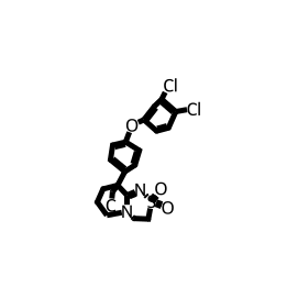 O=S1(=O)CCN2C(=N1)C1(c3ccc(Oc4ccc(Cl)c(Cl)c4)cc3)CCC2CC1